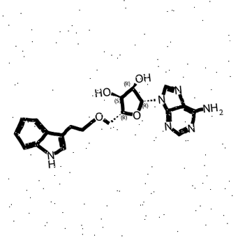 Nc1ncnc2c1ncn2[C@@H]1O[C@H](COCCc2c[nH]c3ccccc23)[C@@H](O)[C@H]1O